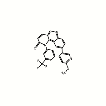 COc1ccc(-c2ccc3ncc4ccc(=O)n(-c5cccc(C(F)(F)F)c5)c4c3c2)cn1